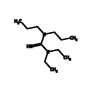 CCCN(CCC)C(=N)N(CC)CC